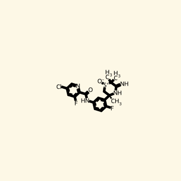 CC1(C)C(=N)N[C@](C)(c2cc(NC(=O)c3ncc(Cl)cc3F)ccc2F)C[S+]1[O-]